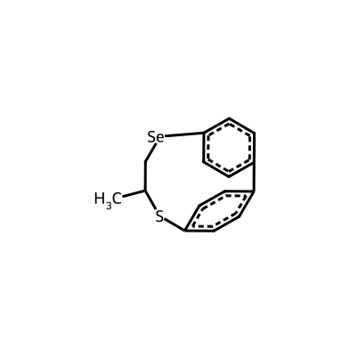 CC1C[Se]c2ccc(cc2)-c2ccc(cc2)S1